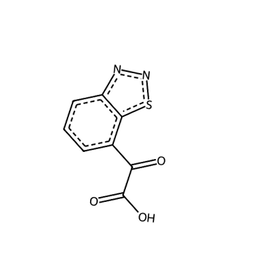 O=C(O)C(=O)c1cccc2nnsc12